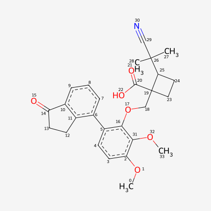 COc1ccc(-c2cccc3c2CCC3=O)c(OCC2(C(=O)O)CCC2C(C)(C)C#N)c1OC